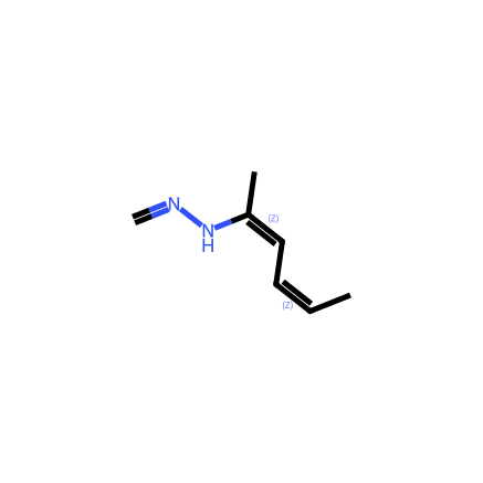 C=NN/C(C)=C\C=C/C